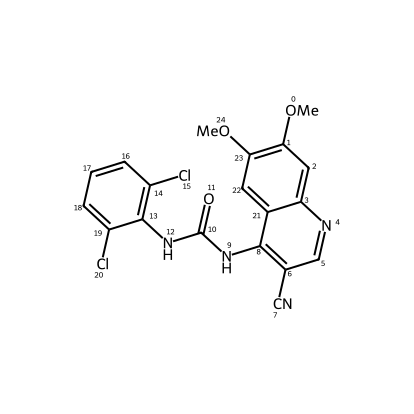 COc1cc2ncc(C#N)c(NC(=O)Nc3c(Cl)cccc3Cl)c2cc1OC